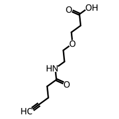 C#CCCC(=O)NCCOCCC(=O)O